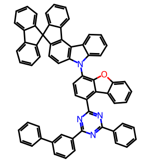 c1ccc(-c2cccc(-c3nc(-c4ccccc4)nc(-c4ccc(-n5c6ccccc6c6c7c(ccc65)C5(c6ccccc6-c6ccccc65)c5ccccc5-7)c5oc6ccccc6c45)n3)c2)cc1